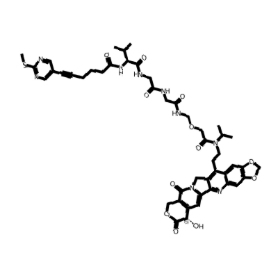 CSc1ncc(C#CCCCC(=O)NC(C(=O)NCC(=O)NCC(=O)NCOCC(=O)N(CCc2c3c(nc4cc5c(cc24)OCO5)-c2cc4c(c(=O)n2C3)COC(=O)[C@H]4O)C(C)C)C(C)C)cn1